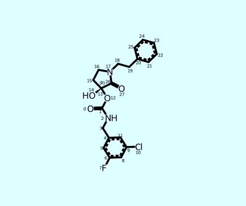 O=C(NCc1cc(F)cc(Cl)c1)O[C@]1(O)CCN(CCc2ccccc2)C1=O